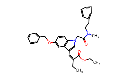 CCOC(=O)C(=Cc1cn(CC(=O)N(C)CCc2ccccc2)c2ccc(OCc3ccccc3)cc12)CC